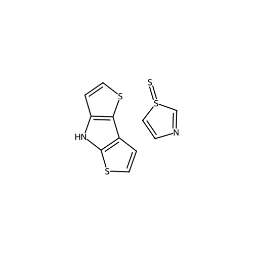 S=S1C=CN=C1.c1cc2c([nH]c3ccsc32)s1